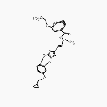 C[C@@H](/C=C/c1cnc(Oc2ccc(OCC3CC3)cc2Cl)s1)NC(=O)c1ccnc(OCC(=O)O)c1